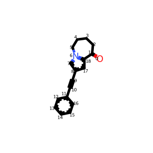 O=C1CCCCn2cc(C#Cc3ccccc3)cc21